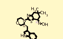 CC1(C)C/C(=N\O)c2sc(N3CCOC[C@@H]3Cc3c[nH]c4ccccc34)nc2C1